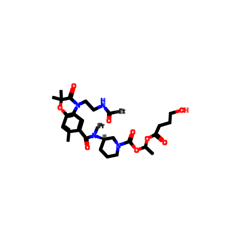 CCC(=O)NCCN1C(=O)C(C)(C)Oc2cc(C)c(C(=O)N(C(C)C)[C@@H]3CCCN(C(=O)OC(C)OC(=O)CCCO)C3)cc21